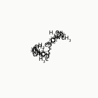 CCN(CCCCCN(CC)c1ccc(N=Nc2n(C)cc[n+]2C)cc1)c1ccc(N=Nc2n(C)cc[n+]2C)cc1